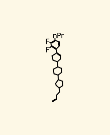 C=CCCC1CCC(C2CCC(C3CC=C(c4ccc(CCC)c(F)c4F)CC3)CC2)CC1